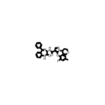 Cc1ccc(Oc2c(C(=O)N[C@H]3N=C(c4ccccc4)c4ccccc4NC3=O)cnn2C2CCOCC2)c(F)c1